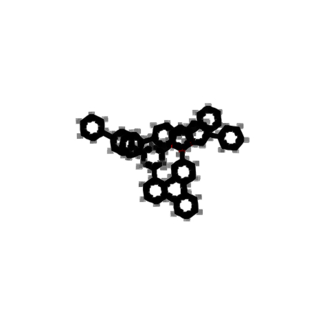 c1ccc(-c2ccc(-c3nc(-c4ccc(-c5ccccc5)cc4)nc(-c4cccc5c6ccccc6c6ccc(-n7c8cc(-c9ccccc9)ccc8c8ccc(-c9ccccc9)cc87)cc6c45)n3)cc2)cc1